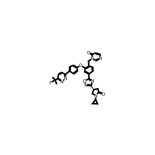 CC(C)(F)c1ccc(-c2ccc(Oc3cc(-c4nc([C@H]5CC(=O)N(C6CC6)C5)no4)ccc3Cn3cnccc3=O)cc2)nn1